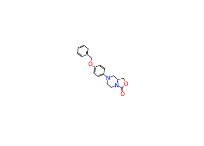 O=C1OCC2CN(c3ccc(OCc4ccccc4)cc3)CCN12